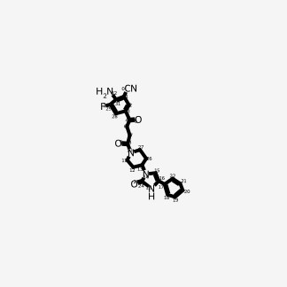 N#Cc1cc(C(=O)CCC(=O)N2CCC(n3cc(-c4ccccc4)[nH]c3=O)CC2)cc(F)c1N